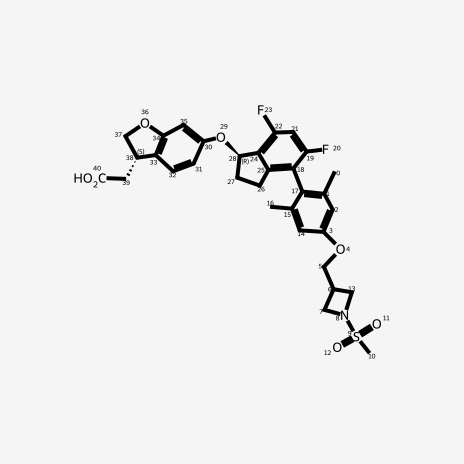 Cc1cc(OCC2CN(S(C)(=O)=O)C2)cc(C)c1-c1c(F)cc(F)c2c1CC[C@H]2Oc1ccc2c(c1)OC[C@H]2CC(=O)O